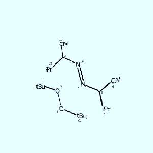 CC(C)(C)OOC(C)(C)C.CC(C)C(C#N)N=NC(C#N)C(C)C